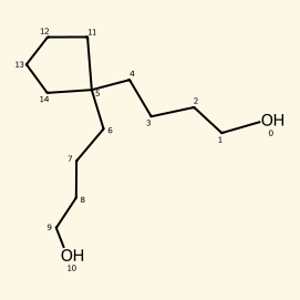 OCCCCC1(CCCCO)CCCC1